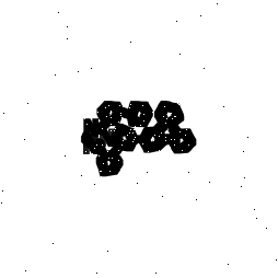 c1ccc(-c2cccc(-c3ncnc(-c4ccccc4-c4cccc(-c5ccc6c7ccccc7c7ccccc7c6c5)c4)n3)c2)cc1